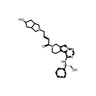 O=C(/C=C/CN1CC2CC(O)CC2C1)N1CCc2c(cn3ncnc(N[C@H](CO)c4ccccc4)c23)C1